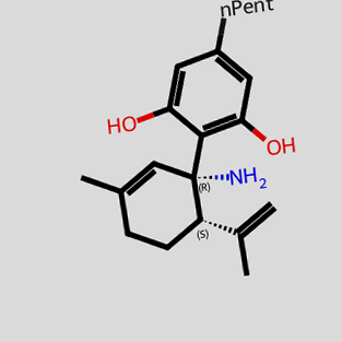 C=C(C)[C@@H]1CCC(C)=C[C@@]1(N)c1c(O)cc(CCCCC)cc1O